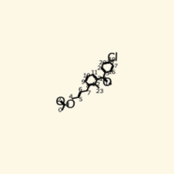 CC(=O)OCC=CCc1cccc(C(=O)c2ccc(Cl)cc2)c1C